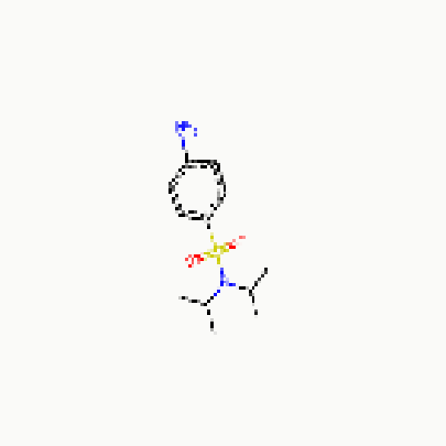 CC(C)N(C(C)C)S(=O)(=O)c1ccc(N)cc1